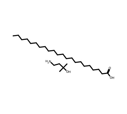 CC(C)(O)CCN.CCCCCCCCCCCCCCCCCCCCCC(=O)O